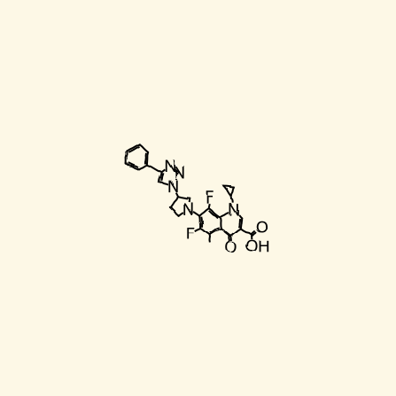 Cc1c(F)c(N2CCC(n3cc(-c4ccccc4)nn3)C2)c(F)c2c1c(=O)c(C(=O)O)cn2C1CC1